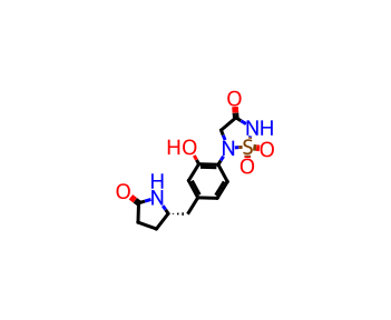 O=C1CC[C@@H](Cc2ccc(N3CC(=O)NS3(=O)=O)c(O)c2)N1